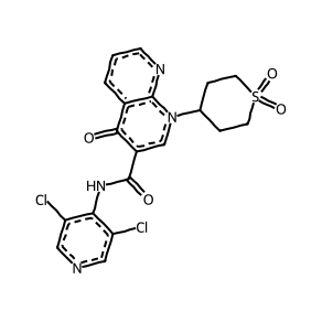 O=C(Nc1c(Cl)cncc1Cl)c1cn(C2CCS(=O)(=O)CC2)c2ncccc2c1=O